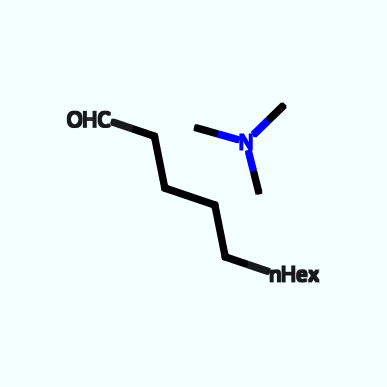 CCCCCCCCCCC=O.CN(C)C